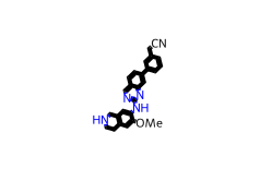 COc1cc2c(cc1Nc1ncc3ccc(-c4cccc(CC#N)c4)cc3n1)CNCC2